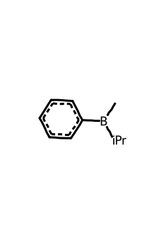 CB(c1ccccc1)C(C)C